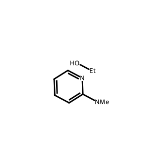 CCO.CNc1ccccn1